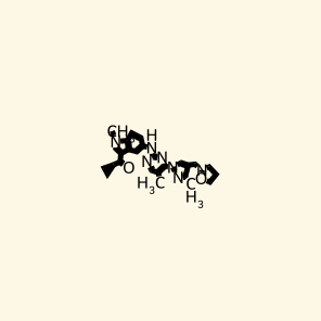 Cc1cnc(Nc2ccc3c(c2)c(C(=O)C2CC2)cn3C)nc1-n1cc(CN2CCCO2)c(C)n1